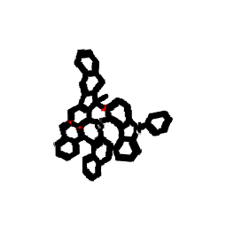 CC1(C)c2cc3ccccc3cc2-c2cccc(N(c3ccc4ccccc4c3-c3cccc4ccccc34)c3cccc4c3c3ccccc3n4-c3ccccc3)c21